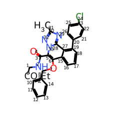 CCOC(=O)CNC(=O)c1c(OCc2ccccc2)c2cccc(-c3ccc(Cl)cc3)c2c2nc(C)nn12